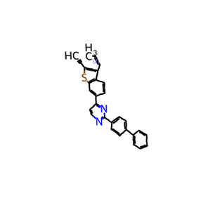 C#Cc1sc2cc(-c3ccnc(-c4ccc(-c5ccccc5)cc4)n3)ccc2c1/C=C\C